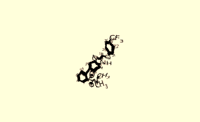 CN(C)S(=O)(=O)c1ccccc1-c1ccc2[nH]c(COc3ccc(C(F)(F)F)cc3)nc2c1